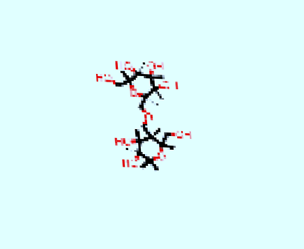 CC1(C)OC(C)(CO)[C@@](C)(COC[C@@]2(C)OC(C)(CO)[C@@](C)(O)C(C)(O)[C@]2(C)O)C(C)(O)[C@]1(C)O